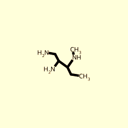 CCC(NC)C(N)CN